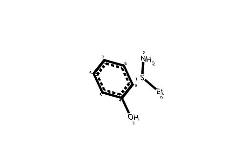 CCSN.Oc1ccccc1